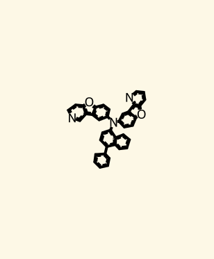 c1ccc(-c2ccc(N(c3ccc4oc5ccncc5c4c3)c3ccc4oc5cccnc5c4c3)c3ccccc23)cc1